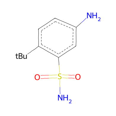 CC(C)(C)c1ccc(N)cc1S(N)(=O)=O